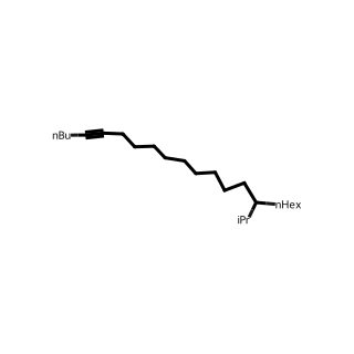 [CH2]CCCC#CCCCCCCCCCC(CCCCC[CH2])C(C)C